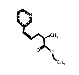 CCOC(=O)[C@H](C)C/C=C\c1cccnc1